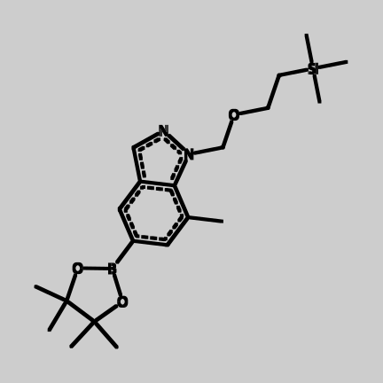 Cc1cc(B2OC(C)(C)C(C)(C)O2)cc2cnn(COCC[Si](C)(C)C)c12